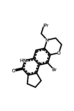 CC(C)CN1CCOc2c1cc1[nH]c(=O)c3c(c1c2Br)CCC3